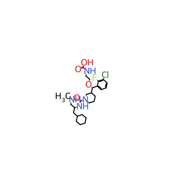 CNCC(CC1CCCCC1)NC(=O)N1CCCC(C(OCCNC(=O)O)c2cccc(Cl)c2F)C1